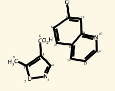 Cc1oncc1C(=O)O.Clc1ccc2cccnc2c1